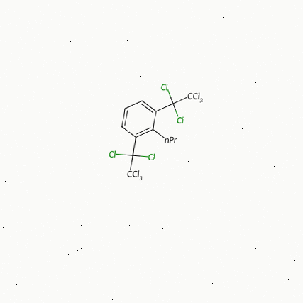 [CH2]CCc1c(C(Cl)(Cl)C(Cl)(Cl)Cl)cccc1C(Cl)(Cl)C(Cl)(Cl)Cl